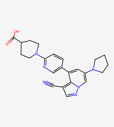 N#Cc1cnn2cc(N3CCCC3)cc(-c3ccc(N4CCC(C(=O)O)CC4)nc3)c12